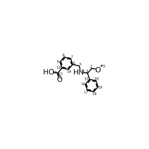 COCC(NCc1cccc(C(=O)O)c1)c1ccccc1